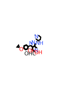 CN1CCC[C@@H](Nc2nnc(-c3ccc(OC4CC4)cc3O)c3ccncc23)C1.O=CO